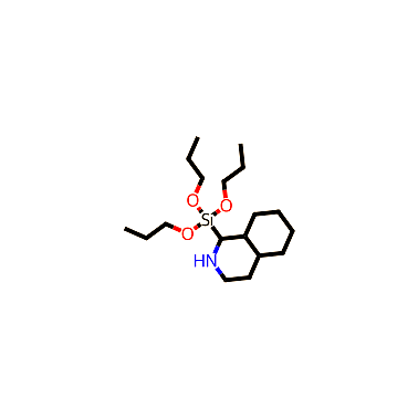 CCCO[Si](OCCC)(OCCC)C1NCCC2CCCCC21